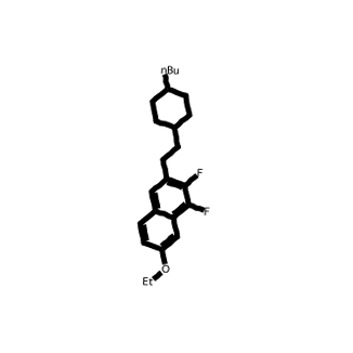 CCCCC1CCC(CCc2cc3ccc(OCC)cc3c(F)c2F)CC1